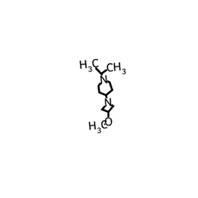 CCC(C)N1CCC(N2CC(OC)C2)CC1